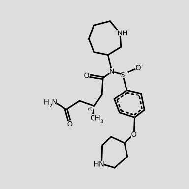 C[C@@H](CC(N)=O)CC(=O)N(C1CCCCNC1)[S+]([O-])c1ccc(OC2CCNCC2)cc1